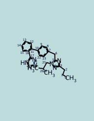 CCCc1nc(Cc2ccc(-c3ccccc3-c3nnn[nH]3)cc2)n(CC(C)C)n1